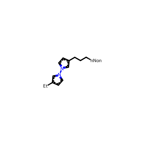 CCCCCCCCCCCCc1ccn(-n2ccc(CC)c2)c1